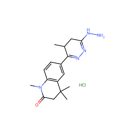 CC1CC(NN)=NN=C1c1ccc2c(c1)C(C)(C)CC(=O)N2C.Cl